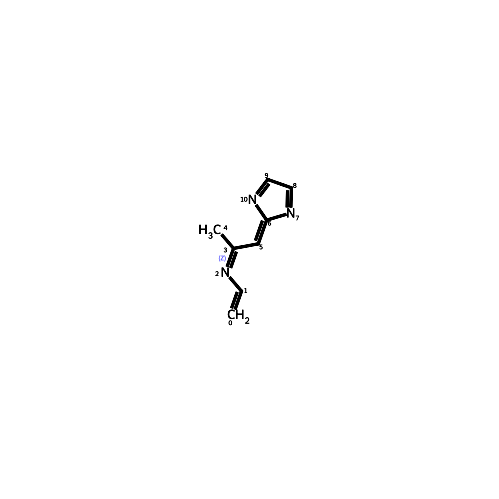 C=C/N=C(/C)C=C1N=CC=N1